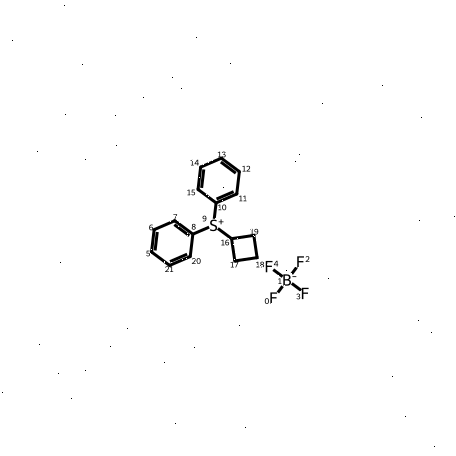 F[B-](F)(F)F.c1ccc([S+](c2ccccc2)C2CCC2)cc1